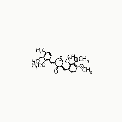 COc1ccc(/C=C2\CSC/C(=C\c3ccc(C)c(CO)c3OC)C2=O)c(OC)c1OC